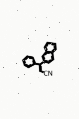 N#C/C=C(/c1ccccc1)c1ccc2ccccc2c1